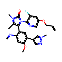 C=CCOc1cnc(-n2c(-c3cc(-c4cnn(C)c4)c(OC)cc3N=C)c(C)n(C)c2=O)c(F)c1